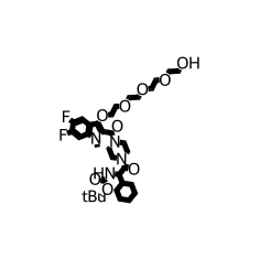 Cn1c(C(=O)N2CCN(C(=O)C(NC(=O)OC(C)(C)C)C3CCCCC3)CC2)c(OCCOCCOCCOCCO)c2cc(F)c(F)cc21